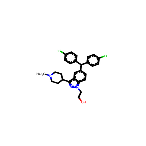 O=C(O)N1CCC(c2nn(CCO)c3ccc(C(c4ccc(Cl)cc4)c4ccc(Cl)cc4)cc23)CC1